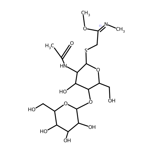 C/N=C(\CSC1OC(CO)C(OC2OC(CO)C(O)C(O)C2O)C(O)C1NC(C)=O)OC